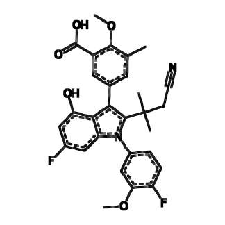 COc1cc(-n2c(C(C)(C)CC#N)c(-c3cc(C)c(OC)c(C(=O)O)c3)c3c(O)cc(F)cc32)ccc1F